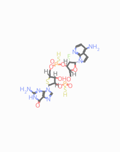 Nc1nc2c(ncn2[C@@H]2S[C@@H]3COP(=O)(S)O[C@H]4[C@H](F)[C@H](n5ccc6c(N)ccnc65)O[C@@H]4COP(=O)(S)O[C@@H]2[C@@H]3O)c(=O)[nH]1